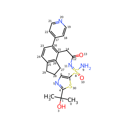 CC(C)(O)c1ncc(S(N)(=O)=NC(=O)Cc2c(-c3ccncc3)ccc3c2CCC3)s1